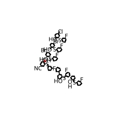 N#Cc1ccc(O)c(Sc2cccc(F)c2)c1.Oc1cc(Br)ccc1Sc1cccc(F)c1.Oc1ccc(-c2ccccc2)cc1Sc1cccc(F)c1.Oc1ccc(Br)cc1Sc1cccc(F)c1.Oc1ccc(Cl)cc1Sc1cccc(F)c1.Oc1ccccc1Sc1cccc(F)c1